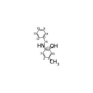 Cc1ccc(NCc2ccccc2)c(O)c1